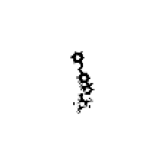 CC1(c2ccc(CCc3ccccc3)cc2)CCN(CC2NC(=O)NC2=O)C1=O